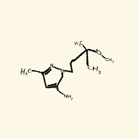 COC(C)(C)CCn1nc(C)cc1N